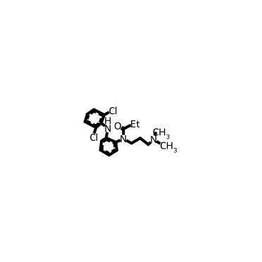 CCC(=O)N(CCCN(C)C)c1ccccc1Nc1c(Cl)cccc1Cl